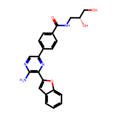 Nc1ncc(-c2ccc(C(=O)NC[C@@H](O)CO)cc2)nc1-c1cc2ccccc2o1